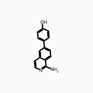 Nc1nccc2cc(-c3ccc(O)cc3)ccc12